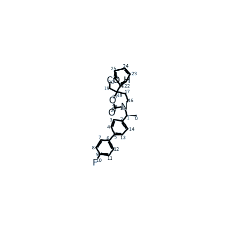 C[C@@H](c1ccc(-c2ccc(F)cc2)cc1)N1CCC(CC(=O)O)(c2ccccc2)OC1=O